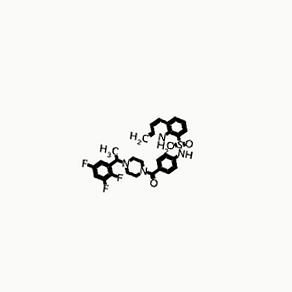 C=C/C=C\c1cccc(S(=O)(=O)Nc2ccc(C(=O)N3CCN(C(C)c4cc(F)cc(F)c4F)CC3)cc2)c1N